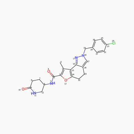 Cc1c(C(=O)NC2CCC(=O)NC2)oc2c1-c1nn(Cc3ccc(Cl)cc3)cc1CC2